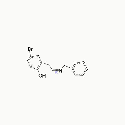 Oc1ccc(Br)cc1C/C=N\Cc1ccccc1